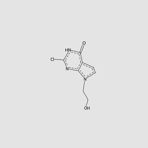 O=c1[nH]c(Cl)nc2c1ccn2CCO